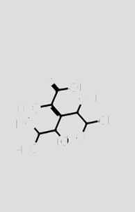 CC(C(=O)O)=C(C(O)C(C)O)C(O)C(C)O